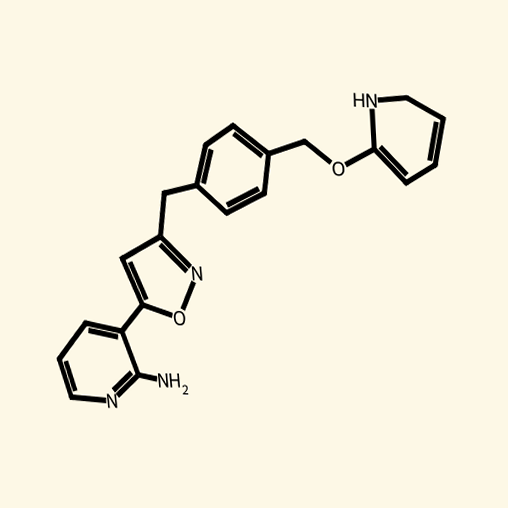 Nc1ncccc1-c1cc(Cc2ccc(COC3=CC=CCN3)cc2)no1